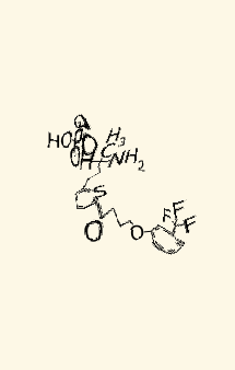 CC(N)(CCc1ccc(C(=O)CCCOc2cccc(C(F)(F)F)c2)s1)COP(=O)(O)O